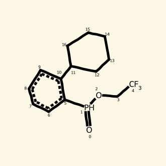 O=[PH](OCC(F)(F)F)c1ccccc1C1CCCCC1